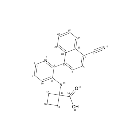 N#Cc1ccc(-c2ncccc2SC2(C(=O)O)CCC2)c2ccccc12